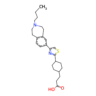 CCCCN1CCc2ccc(-c3csc(C4CCC(CCC(=O)O)CC4)n3)cc2CC1